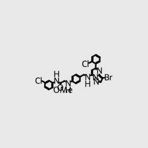 COc1ccc(Cl)cc1NC(=O)CNc1ccc(CNc2cc(-c3ccccc3Cl)nc3c(Br)cnn23)cc1